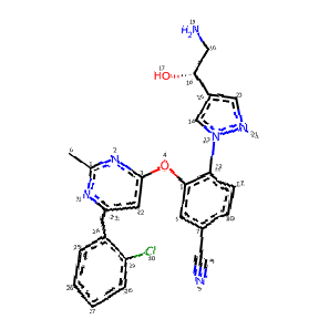 Cc1nc(Oc2cc(C#N)ccc2-n2cc([C@H](O)CN)cn2)cc(-c2ccccc2Cl)n1